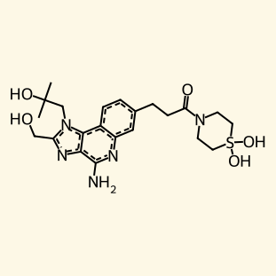 CC(C)(O)Cn1c(CO)nc2c(N)nc3cc(CCC(=O)N4CCS(O)(O)CC4)ccc3c21